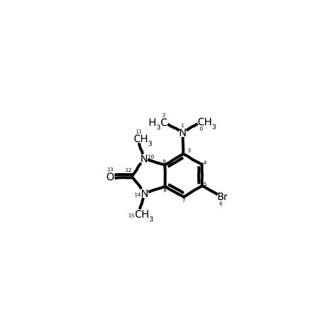 CN(C)c1cc(Br)cc2c1n(C)c(=O)n2C